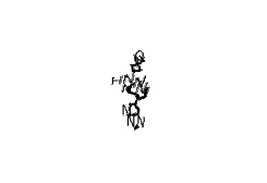 c1cnc2ncc(-c3ccn4nc(NC5CC6(COC6)C5)ncc34)cc2n1